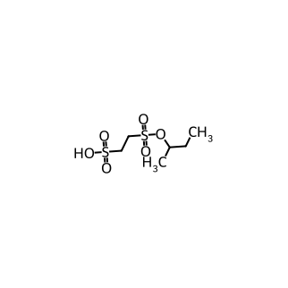 CCC(C)OS(=O)(=O)CCS(=O)(=O)O